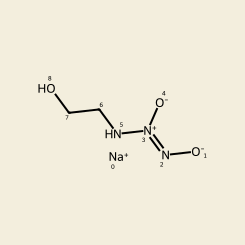 [Na+].[O-]N=[N+]([O-])NCCO